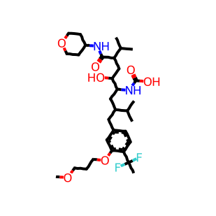 COCCCOc1cc(CC(CC(NC(=O)O)C(O)CC(C(=O)NC2CCOCC2)C(C)C)C(C)C)ccc1C(C)(F)F